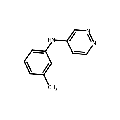 Cc1cccc(Nc2ccnnc2)c1